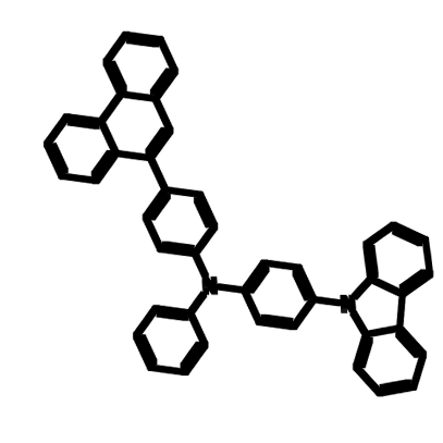 c1ccc(N(c2ccc(-c3cc4ccccc4c4ccccc34)cc2)c2ccc(-n3c4ccccc4c4ccccc43)cc2)cc1